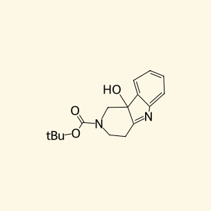 CC(C)(C)OC(=O)N1CCC2=Nc3ccccc3C2(O)C1